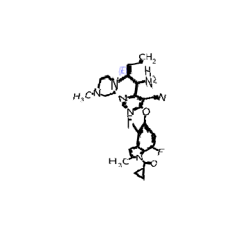 C=C/C=C(\C(N)c1ncnc(Oc2cc(F)c3c(cc(C)n3C(=O)C3CC3)c2F)c1C#N)N1CCN(C)CC1